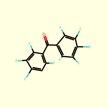 O=C(c1c(F)cc(F)c(F)c1F)c1c(F)c(F)c(F)c(F)c1F